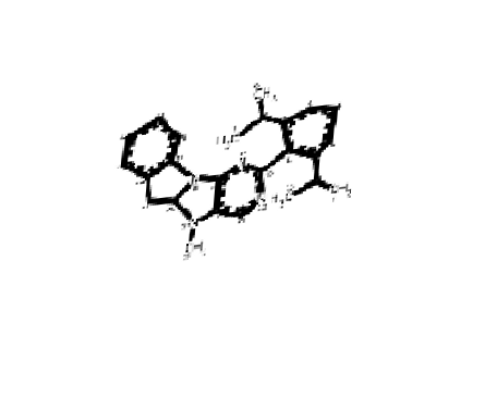 CC(C)c1cccc(C(C)C)c1-c1ncc2c(n1)N1c3ccccc3CC1N2C